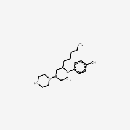 CCCCCC(CN(CC)N1CCNCC1)Oc1ccc(O)cc1